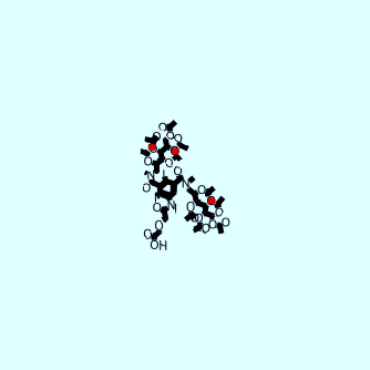 CC(=O)OCC(OC(C)=O)C(OC(C)=O)C(OC(C)=O)C(CN(C)C(=O)c1cc(N(I)C(=O)COCC(=O)O)c(I)c(C(=O)N(C)CC(OC(C)=O)C(OC(C)=O)C(OC(C)=O)C(COC(C)=O)OC(C)=O)c1I)OC(C)=O